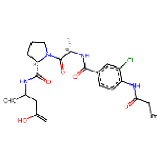 C=C(O)CC(C=O)NC(=O)[C@@H]1CCCN1C(=O)[C@H](C)NC(=O)c1ccc(NC(=O)CC(C)C)c(Cl)c1